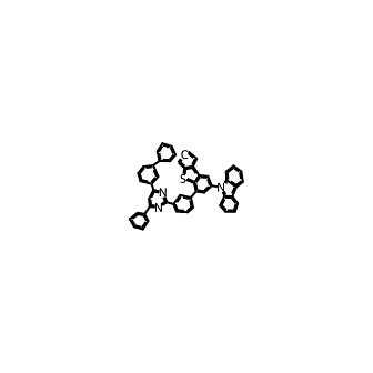 c1ccc(-c2cccc(-c3cc(-c4ccccc4)nc(-c4cccc(-c5cc(-n6c7ccccc7c7ccccc76)cc6c5sc5ccccc56)c4)n3)c2)cc1